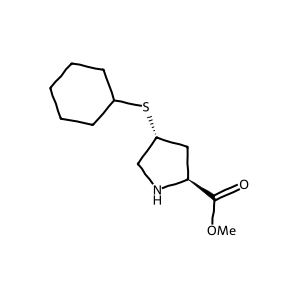 COC(=O)[C@@H]1C[C@@H](SC2CCCCC2)CN1